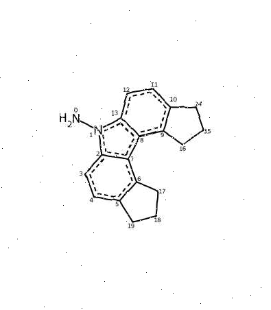 Nn1c2ccc3c(c2c2c4c(ccc21)CCC4)CCC3